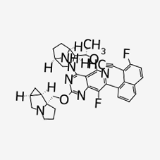 C#Cc1c(F)ccc2cccc(-c3nc4c5c(nc(OC[C@]67CCCN6C[C@H]6C[C@H]67)nc5c3F)N3C[C@H]5CC[C@H](N5)[C@H]3[C@H](C)O4)c12